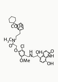 COc1cc(OCC(=O)N(C)CCCc2cccc(C3(C(=O)O)CCCCC3)c2)c(Cl)cc1CNCC(O)c1ccc(O)c2[nH]c(=O)ccc12